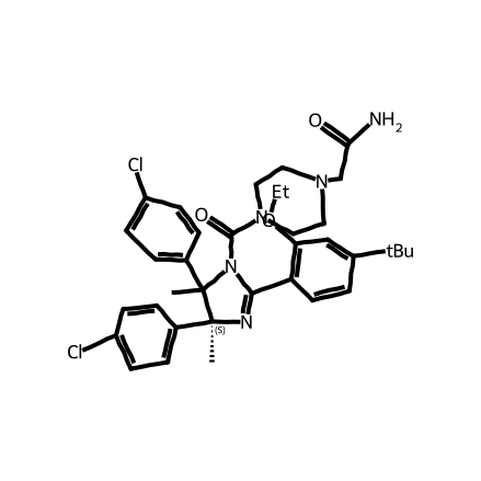 CCOc1cc(C(C)(C)C)ccc1C1=N[C@@](C)(c2ccc(Cl)cc2)C(C)(c2ccc(Cl)cc2)N1C(=O)N1CCN(CC(N)=O)CC1